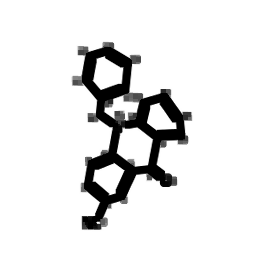 N#Cc1ccc2c(c1)c(=O)c1ccccc1[s+]2Cc1ccccc1